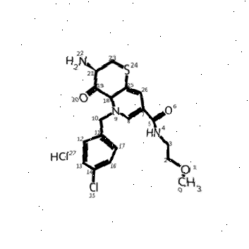 COCCNC(=O)C1=CN(Cc2ccc(Cl)cc2)C2C(=O)[C@@H](N)CSC2=C1.Cl